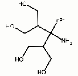 CCCC(N)(C(CO)CO)C(CO)CO